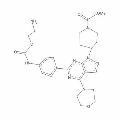 COC(=O)N1CCC(n2ncc3c(N4CCOCC4)nc(-c4ccc(NC(=O)OCCN)cc4)nc32)CC1